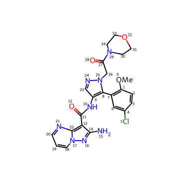 COc1ccc(Cl)cc1-c1c(NC(=O)c2c(N)nn3cccnc23)cnn1CC(=O)N1CCOCC1